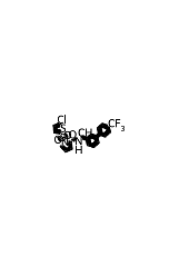 C[C@@H](NC(=O)[C@@H]1CCCN1S(=O)(=O)c1ccc(Cl)s1)c1cccc(-c2ccc(C(F)(F)F)cc2)c1